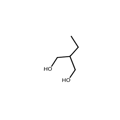 CC[C](CO)CO